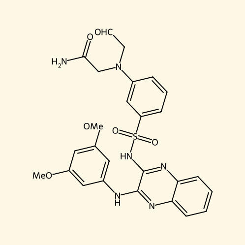 COc1cc(Nc2nc3ccccc3nc2NS(=O)(=O)c2cccc(N(CC=O)CC(N)=O)c2)cc(OC)c1